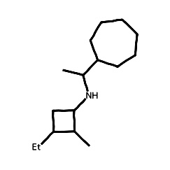 CCC1CC(NC(C)C2CCCCCC2)C1C